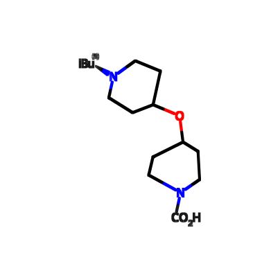 CC[C@H](C)N1CCC(OC2CCN(C(=O)O)CC2)CC1